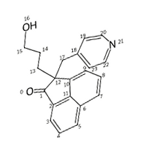 O=C1c2cccc3cccc(c23)C1(CCCO)Cc1ccncc1